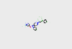 O=C(c1ccnc(Cl)c1)N1CC2(CCN(CC=C(Cl)c3ccc(Cl)cc3)CC2)c2cc(Cl)ccc21